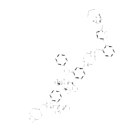 O=C(NS(=O)(=O)c1ccc(NCC2CCOCC2)c([N+](=O)[O-])c1)c1ccc(N2CCN(Cc3ccccc3-c3ccc(CN4C5CCCC4CC5)s3)CC2)cc1Oc1ccccc1